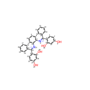 Oc1ccc(/C(=N/c2ccccc2/N=C(\c2ccccc2)c2ccc(O)cc2O)c2ccccc2)c(O)c1